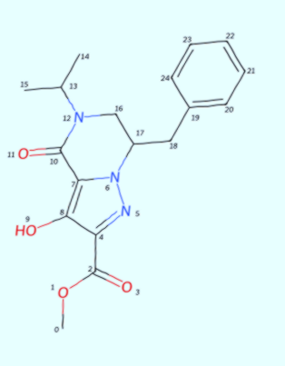 COC(=O)c1nn2c(c1O)C(=O)N(C(C)C)CC2Cc1ccccc1